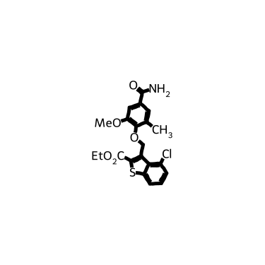 CCOC(=O)c1sc2cccc(Cl)c2c1COc1c(C)cc(C(N)=O)cc1OC